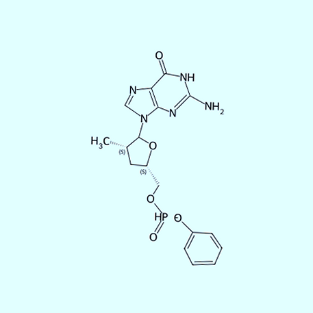 C[C@H]1C[C@@H](CO[PH](=O)Oc2ccccc2)OC1n1cnc2c(=O)[nH]c(N)nc21